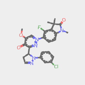 COc1cn(-c2ccc3c(c2F)C(C)(C)C(=O)N3C)nc(C2CC=NN2c2cccc(Cl)c2)c1=O